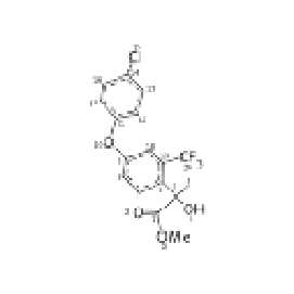 COC(=O)C(C)(O)c1ccc(Oc2ccc(Cl)cc2)cc1C(F)(F)F